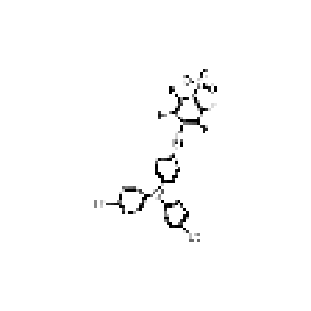 CCc1ccc([S+](c2ccc(CC)cc2)c2ccc(CC)cc2)cc1.O=S(=O)([O-])c1c(F)c(F)c(F)c(F)c1F